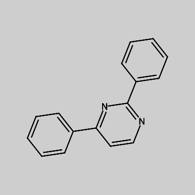 c1ccc(-c2ccnc(-c3ccccc3)n2)cc1